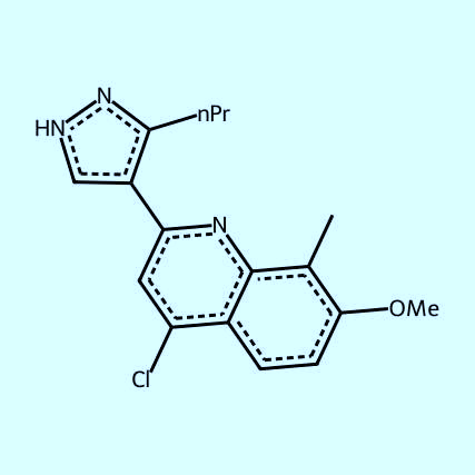 CCCc1n[nH]cc1-c1cc(Cl)c2ccc(OC)c(C)c2n1